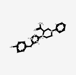 CC(=O)C1CN(c2ccccc2)CCN1c1nc(Cc2ccc(F)cc2)ns1